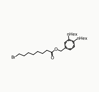 CCCCCCc1ccc(COC(=O)CCCCCCCBr)cc1CCCCCC